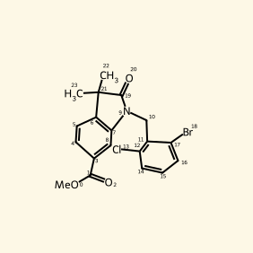 COC(=O)c1ccc2c(c1)N(Cc1c(Cl)cccc1Br)C(=O)C2(C)C